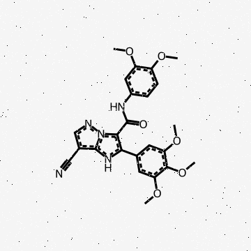 COc1ccc(NC(=O)c2c(-c3cc(OC)c(OC)c(OC)c3)[nH]c3c(C#N)cnn23)cc1OC